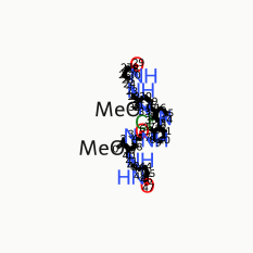 COc1cnc(C(=O)Nc2cccc(-c3nccc(-c4ccc(CNC[C@@H]5CCC(=O)N5)c(OC)n4)c3Cl)c2C)cc1CNC[C@H]1CCC(=O)N1